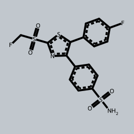 NS(=O)(=O)c1ccc(-c2nc(S(=O)(=O)CF)sc2-c2ccc(F)cc2)cc1